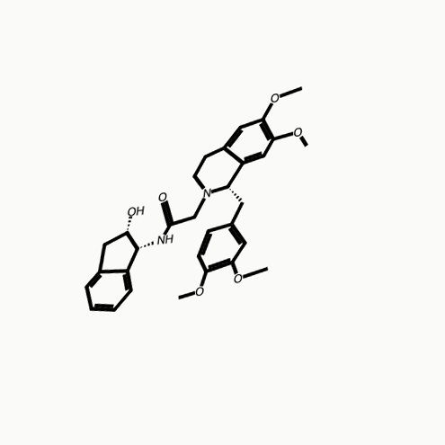 COc1ccc(C[C@H]2c3cc(OC)c(OC)cc3CCN2CC(=O)N[C@@H]2c3ccccc3C[C@@H]2O)cc1OC